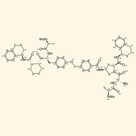 CN[C@@H](C)C(=O)N[C@@H](Cc1ccc(OCc2ccc(C(=O)N[C@H]3C[C@@H](C(=O)N[C@@H]4CCCc5ccccc54)N(C(=O)[C@@H](NC(=O)[C@H](C)NC)C(C)(C)C)C3)cc2)cc1)C(=O)[C@@H]1CCCC[C@@H]1C(=O)N[C@@H]1CCCc2ccccc21